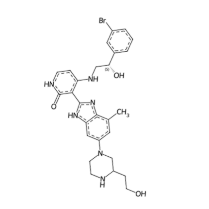 Cc1cc(N2CCNC(CCO)C2)cc2[nH]c(-c3c(NC[C@@H](O)c4cccc(Br)c4)cc[nH]c3=O)nc12